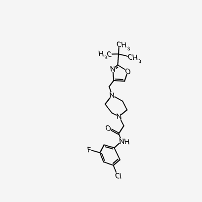 CC(C)(C)c1nc(CN2CCN(CC(=O)Nc3cc(F)cc(Cl)c3)CC2)co1